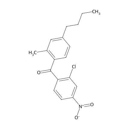 CCCCc1ccc(C(=O)c2ccc([N+](=O)[O-])cc2Cl)c(C)c1